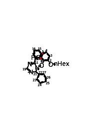 CCCCCCOc1cccc(O)c1ON1C(c2ccccc2)=NC=NC1c1ccccc1